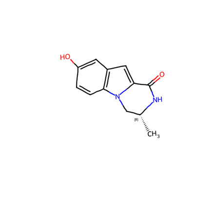 C[C@@H]1Cn2c(cc3cc(O)ccc32)C(=O)N1